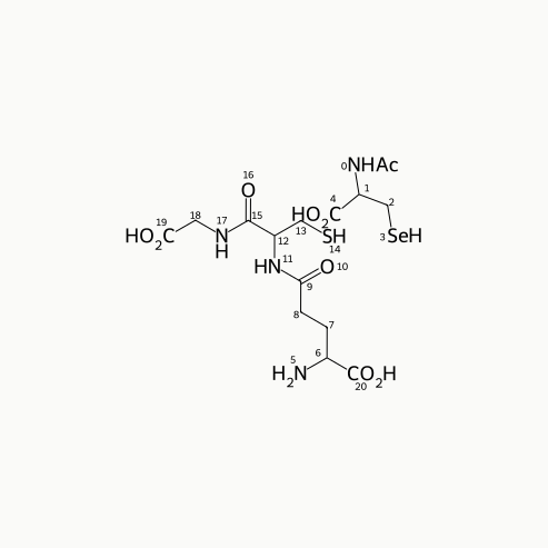 CC(=O)NC(C[SeH])C(=O)O.NC(CCC(=O)NC(CS)C(=O)NCC(=O)O)C(=O)O